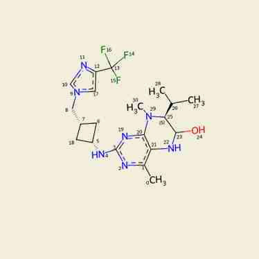 Cc1nc(N[C@H]2C[C@@H](Cn3cnc(C(F)(F)F)c3)C2)nc2c1NC(O)[C@H](C(C)C)N2C